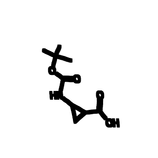 CC(C)(C)OC(=O)NC1CC1C(=O)O